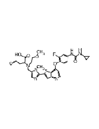 COCCN(Cc1cnc(-c2cc3nccc(Oc4ccc(NC(=O)NC5CC5)cc4F)c3s2)n1C)C(CC=O)C(=O)O